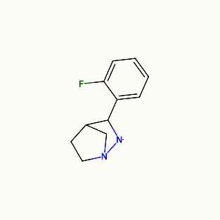 Fc1ccccc1C1[N]N2CCC1C2